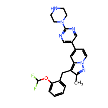 Cc1nn2ccc(-c3cnc(N4CCNCC4)nc3)cc2c1Cc1ccccc1OC(F)F